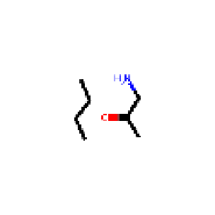 CC(=O)CN.CCCC